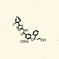 COc1cc(C(=O)Nc2nnc(-c3ccncc3F)s2)ccc1O[C@@H](CCO)c1ccccc1